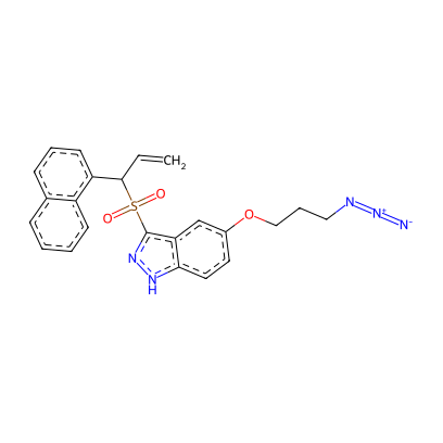 C=CC(c1cccc2ccccc12)S(=O)(=O)c1n[nH]c2ccc(OCCCN=[N+]=[N-])cc12